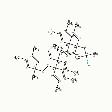 CC=CC(C)(C=CC)CCC(C=CC)(C=CC)C(C=CC)(C=CC)CCC(C=CC)(C=CC)C(C=CC)(C=CC)CC(F)(C(C)(C)C)C(F)(F)F